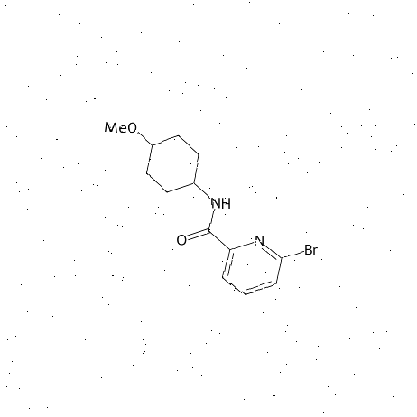 COC1CCC(NC(=O)c2cccc(Br)n2)CC1